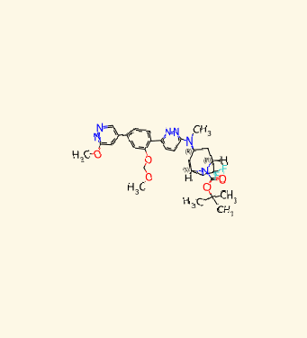 COCOc1cc(-c2cnnc(OC)c2)ccc1-c1ccc(N(C)[C@@H]2C[C@H]3CC(F)(F)[C@@H](C2)N3C(=O)OC(C)(C)C)nn1